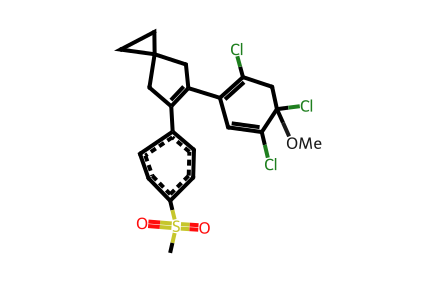 COC1(Cl)CC(Cl)=C(C2=C(c3ccc(S(C)(=O)=O)cc3)CC3(CC3)C2)C=C1Cl